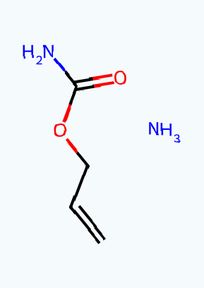 C=CCOC(N)=O.N